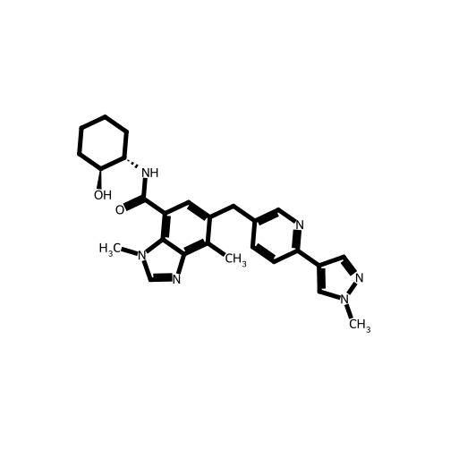 Cc1c(Cc2ccc(-c3cnn(C)c3)nc2)cc(C(=O)N[C@H]2CCCC[C@@H]2O)c2c1ncn2C